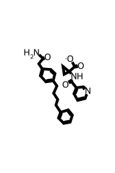 NC(=O)Cc1ccc(CCCCc2ccccc2)cc1.[O]C(=O)C1(NC(=O)c2cccnc2)CC1